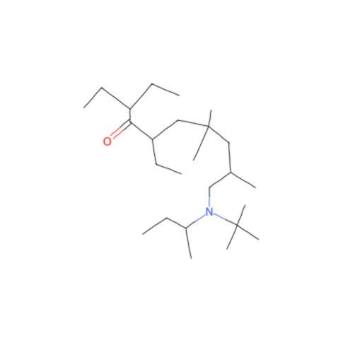 CCC(CC)C(=O)C(CC)CC(C)(C)CC(C)CN(C(C)CC)C(C)(C)C